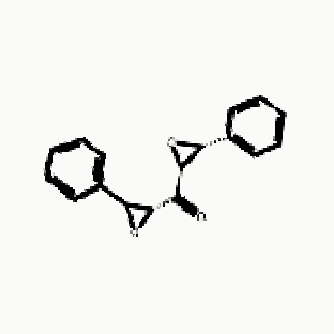 O=C([C@H]1O[C@@H]1c1ccccc1)[C@@H]1OC1c1ccccc1